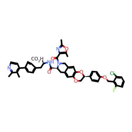 Cc1nc(C(=O)N2Cc3cc4c(cc3C[C@H]2C(=O)N[C@@H](Cc2ccc(-c3ccnc(C)c3C)cc2)C(=O)O)OC[C@H](c2ccc(OCc3c(F)cccc3Cl)cc2)O4)c(C)o1